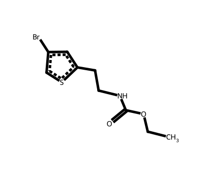 CCOC(=O)NCCc1cc(Br)cs1